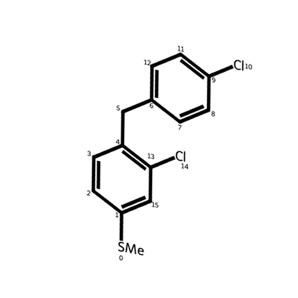 CSc1ccc(Cc2ccc(Cl)cc2)c(Cl)c1